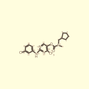 CN(CC1CCCC1)C(=O)Oc1cnc(Nc2cccc(Cl)c2)nc1C(F)(F)F